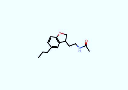 CCCc1ccc2c(c1)C(CCNC(C)=O)CO2